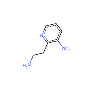 NCCc1ncccc1N